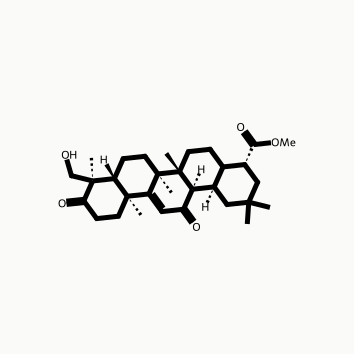 COC(=O)[C@@H]1CC(C)(C)C[C@@H]2C1CC[C@]1(C)[C@@H]2C(=O)C=C2[C@@]3(C)CCC(=O)[C@@](C)(CO)[C@@H]3CC[C@]21C